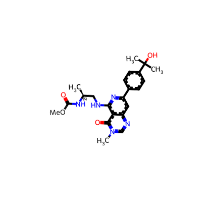 COC(=O)N[C@@H](C)CNc1nc(-c2ccc(C(C)(C)O)cc2)cc2ncn(C)c(=O)c12